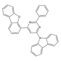 c1ccc(-c2nc(-c3cccc4c3oc3ccccc34)cc(-n3c4ccccc4c4ccccc43)n2)cc1